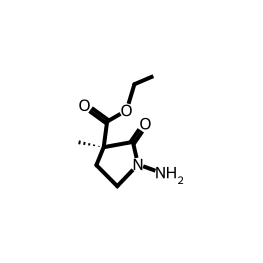 CCOC(=O)[C@]1(C)CCN(N)C1=O